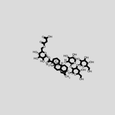 C=C1C[C@@]23CC[C@H]4[C@@](C)(CCC[C@@]4(C)C(=O)O[C@@H]4OC(COC(=O)CC(=O)O)[C@@H](O)C(O)C4O)[C@@H]2CC[C@]1(O[C@@H]1OC(CO)[C@@H](O)C(O[C@@H]2OC(CO)[C@@H](O)C(O)C2O)C1O[C@@H]1OC[C@@H](O)C(O)C1O)C3